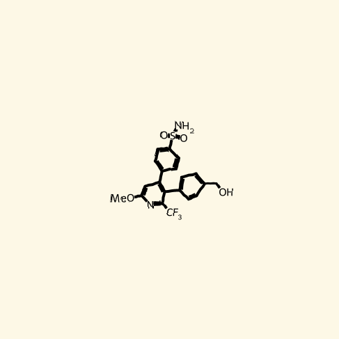 COc1cc(-c2ccc(S(N)(=O)=O)cc2)c(-c2ccc(CO)cc2)c(C(F)(F)F)n1